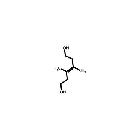 CC(CCO)=C(C)CCO